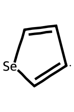 [c]1cc[se]c1